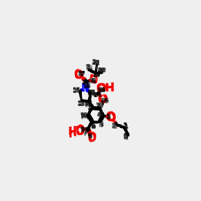 CCCOc1cc(C(=O)O)cc([C@H]2CCN(C(=O)OC(C)(C)C)[C@@H]2C(=O)O)c1